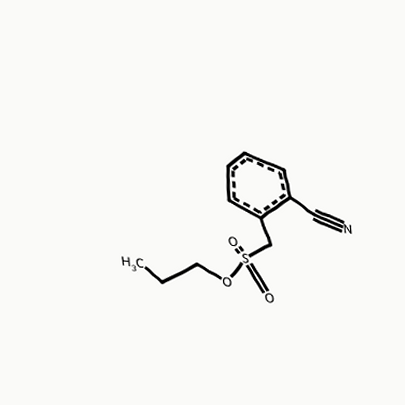 CCCOS(=O)(=O)Cc1ccccc1C#N